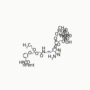 C=CCOCO[C@@H]1C[C@H](n2cc(/C=C/CNC(=O)COC(COc3cccc(C(=O)NCCCCC)c3)OCC=C)c3c(N)ncnc32)OC1COP(=O)(O)OP(=O)(O)OP(=O)(O)O